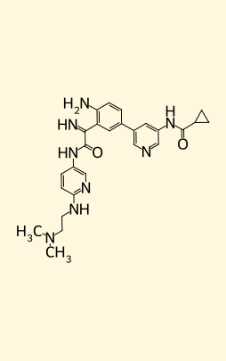 CN(C)CCNc1ccc(NC(=O)C(=N)c2cc(-c3cncc(NC(=O)C4CC4)c3)ccc2N)cn1